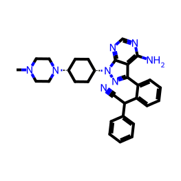 CN1CCN([C@H]2CC[C@@H](n3nc(-c4ccccc4C(C#N)c4ccccc4)c4c(N)ncnc43)CC2)CC1